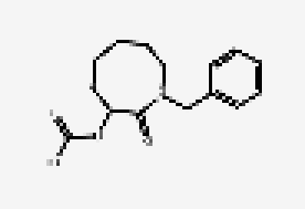 O=C(O)OC1CCCCCN(Cc2ccccc2)C1=O